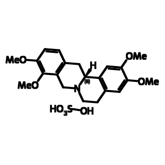 COc1cc2c(cc1OC)[C@H]1Cc3ccc(OC)c(OC)c3CN1CC2.O=S(=O)(O)O